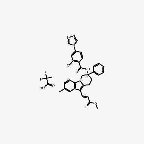 COC(=O)/C=C/c1c2n(c3ccc(C)cc13)C[C@@](NC(=O)c1ccc(-n3cnnc3)cc1Cl)(c1ccccc1)CC2.O=C(O)C(F)(F)F